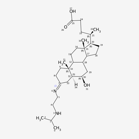 CC(C)NCC/N=C1/CC[C@]2(C)C3CC[C@@]4(C)C(CC[C@@H]4[C@H](C)CCC(=O)O)C3C[C@@H](O)[C@H]2C1